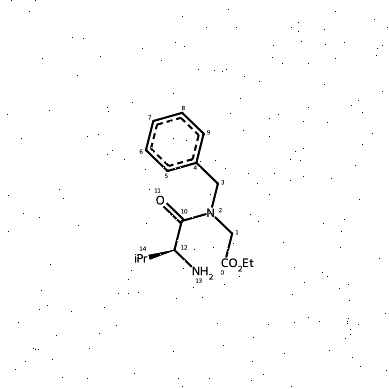 CCOC(=O)CN(Cc1ccccc1)C(=O)[C@@H](N)C(C)C